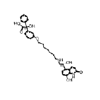 O=C(O)[C@](O)(c1ccccc1)c1cccc(OCCCCCCCNC[C@H](O)c2ccc(O)c3[nH]c(=O)ccc23)c1